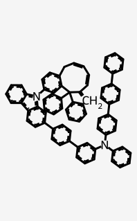 C=C1/C=C\C=C/Cc2ccc(-n3c4ccccc4c4ccc(-c5ccc(-c6cccc(N(c7ccccc7)c7ccc(-c8ccc(-c9ccccc9)cc8)cc7)c6)cc5)cc43)cc2C1(c1ccccc1)c1ccccc1